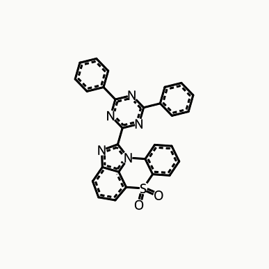 O=S1(=O)c2ccccc2-n2c(-c3nc(-c4ccccc4)nc(-c4ccccc4)n3)nc3cccc1c32